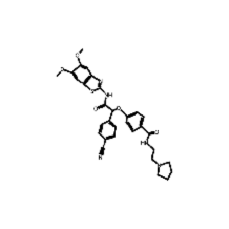 COc1cc2nc(NC(=O)C(Oc3ccc(C(=O)NCCN4CCCC4)cc3)c3ccc(C#N)cc3)sc2cc1OC